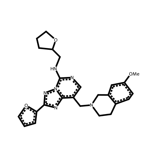 COc1ccc2c(c1)CN(Cc1cnc(NCC3CCCO3)n3nc(-c4ccco4)nc13)CC2